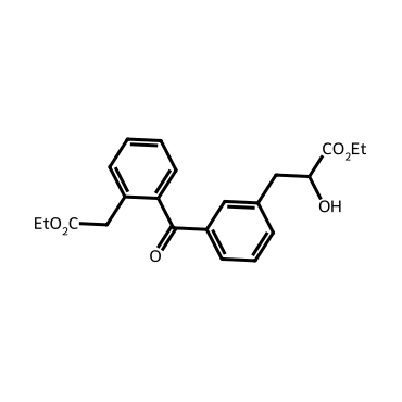 CCOC(=O)Cc1ccccc1C(=O)c1cccc(CC(O)C(=O)OCC)c1